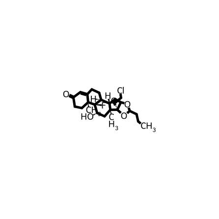 CCCC1OC2C[C@H]3[C@@H]4CCC5=CC(=O)CC[C@]5(C)[C@@]4(F)[C@@H](O)C[C@]3(C)[C@]2(C(=O)CCl)O1